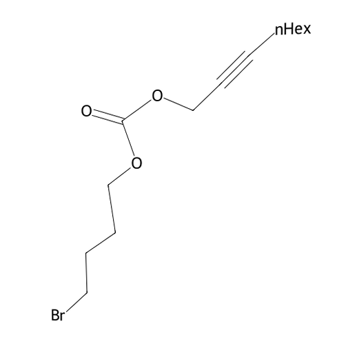 CCCCCCC#CCOC(=O)OCCCCBr